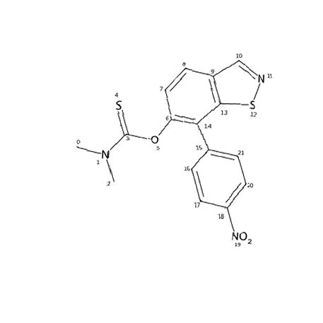 CN(C)C(=S)Oc1ccc2cnsc2c1-c1ccc([N+](=O)[O-])cc1